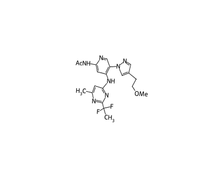 COCCc1cnn(-c2cnc(NC(C)=O)cc2Nc2cc(C)nc(C(C)(F)F)n2)c1